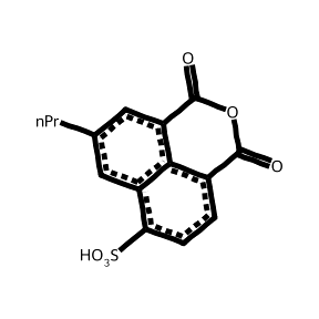 CCCc1cc2c3c(ccc(S(=O)(=O)O)c3c1)C(=O)OC2=O